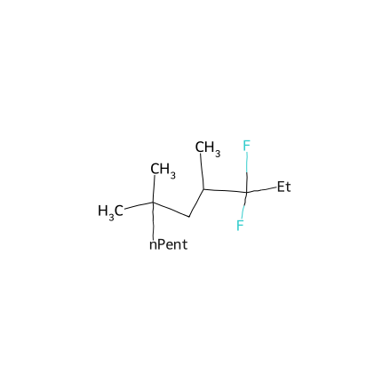 CCCCCC(C)(C)CC(C)C(F)(F)CC